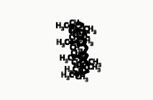 CC(C)(C)c1cc(Cc2cc(C(C)(C)C)c(OP3OCCN3C(C)(C)C)c(C(C)(C)C)c2)cc(C(C)(C)C)c1OP1OCCN1C(C)(C)C